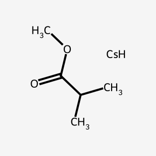 COC(=O)C(C)C.[CsH]